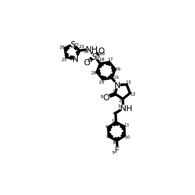 O=C1C(NCc2ccc(F)cc2)CCN1c1ccc(S(=O)(=O)Nc2nccs2)cc1